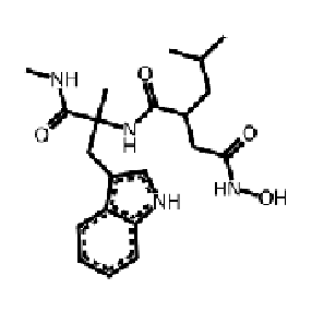 CNC(=O)C(C)(Cc1c[nH]c2ccccc12)NC(=O)C(CC(=O)NO)CC(C)C